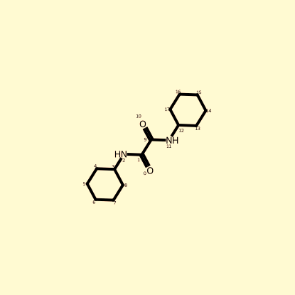 O=C(NC1CCCCC1)C(=O)NC1CCCCC1